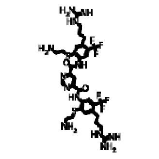 N=C(N)NCCCc1cc(SCCN)c(NC(=O)c2cc(C(=O)Nc3cc(C(F)(F)F)c(CCCNC(=N)N)cc3SCCN)ncn2)cc1C(F)(F)F